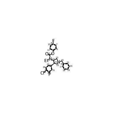 CCN(C(=O)Oc1ccc(F)cc1)C1CN(Cc2ccccc2)CC1c1ccc(Cl)c(F)c1